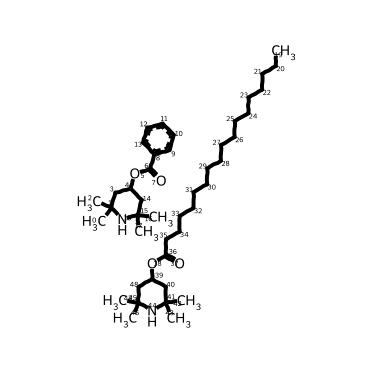 CC1(C)CC(OC(=O)c2ccccc2)CC(C)(C)N1.CCCCCCCCCCCCCCCCCC(=O)OC1CC(C)(C)NC(C)(C)C1